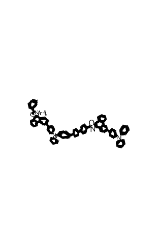 c1ccc(C2Nc3c(c4ccccc4c4cc(-c5ccc(N(c6ccccc6)c6ccc(-c7ccc(-c8ccc(-c9nc%10c%11ccc(-c%12ccc(N(c%13ccccc%13)c%13ccccc%13)cc%12)cc%11c%11ccccc%11c%10o9)cc8)cc7)cc6)cc5)ccc34)O2)cc1